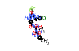 Cc1ccc(NC(=O)C(=O)NCC(C)(O)CNC(=O)c2ccc(Nc3nc(NC4(c5ccc(Cl)cc5)CC4)nc(OCC(F)(F)F)n3)cc2)cc1